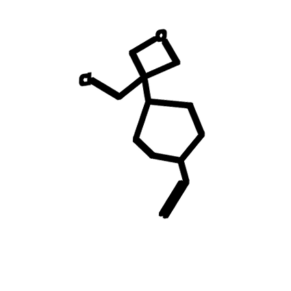 C=CC1CCC(C2(CCl)COC2)CC1